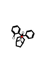 O=C1CC2CCC(C1)N2C(c1ccccc1)c1ccccc1Cl